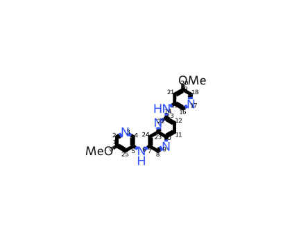 COc1cncc(Nc2cnc3ccc(Nc4cncc(OC)c4)nc3c2)c1